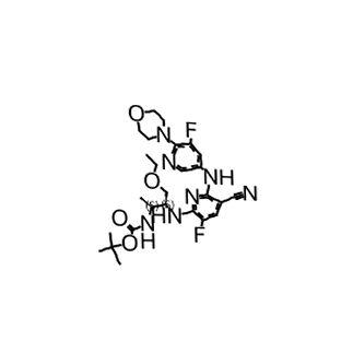 CCOC[C@@H](Nc1nc(Nc2cnc(N3CCOCC3)c(F)c2)c(C#N)cc1F)[C@H](C)NC(=O)OC(C)(C)C